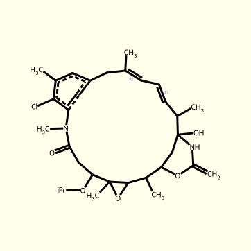 C=C1NC2(O)CC(O1)C(C)C1OC1(C)C(OC(C)C)CC(=O)N(C)c1cc(cc(C)c1Cl)C/C(C)=C/C=C/C2C